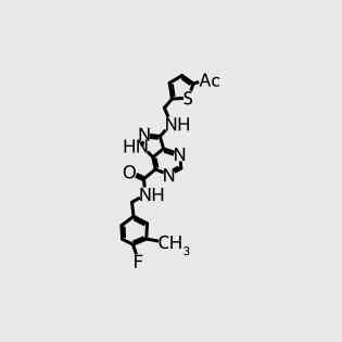 CC(=O)c1ccc(CNc2n[nH]c3c(C(=O)NCc4ccc(F)c(C)c4)ncnc23)s1